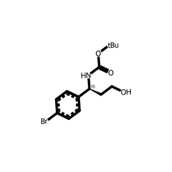 CC(C)(C)OC(=O)N[C@@H](CCO)c1ccc(Br)cc1